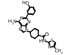 Cc1csc(NC(=O)C2CCC(n3cnc4c(N)nc(-c5cccc(O)c5)nc43)CC2)n1